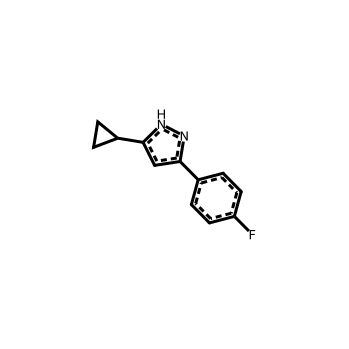 Fc1ccc(-c2cc(C3CC3)[nH]n2)cc1